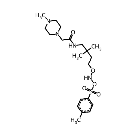 Cc1ccc(S(=O)(=O)ONOCCC(C)(C)CNC(=O)CN2CCN(C)CC2)cc1